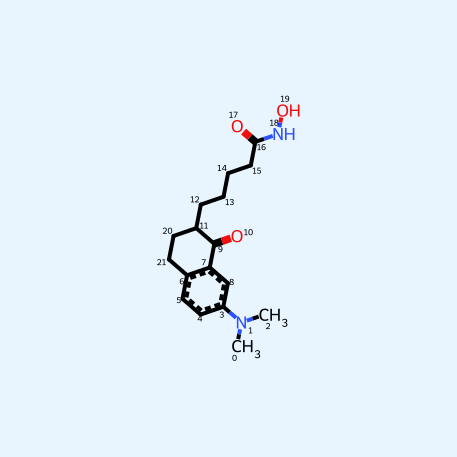 CN(C)c1ccc2c(c1)C(=O)C(CCCCC(=O)NO)CC2